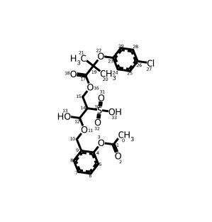 CC(=O)Oc1ccccc1COC(O)C(COC(=O)C(C)(C)Oc1ccc(Cl)cc1)S(=O)(=O)O